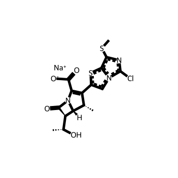 CSc1nc(Cl)n2cc(C3=C(C(=O)[O-])N4C(=O)[C@H]([C@@H](C)O)[C@H]4[C@H]3C)sc12.[Na+]